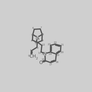 C=CCC1CC2CCC(C1)N2CCCn1c(=O)ccc2ccccc21